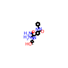 COc1nc(-c2ccccc2)nc2cc(-c3nn([C@H]4C[C@@](C)(O)C4)c(N)c3C(N)=O)ccc12